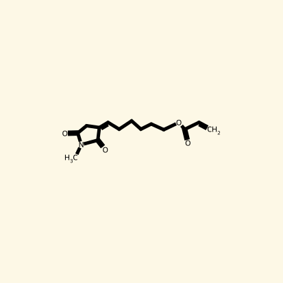 C=CC(=O)OCCCCCC=C1CC(=O)N(C)C1=O